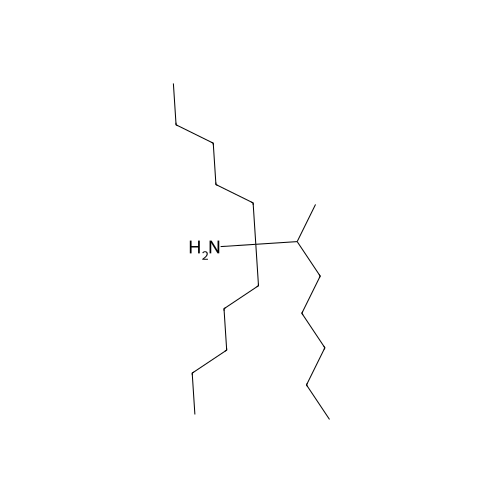 CCCCCC(C)C(N)(CCCCC)CCCCC